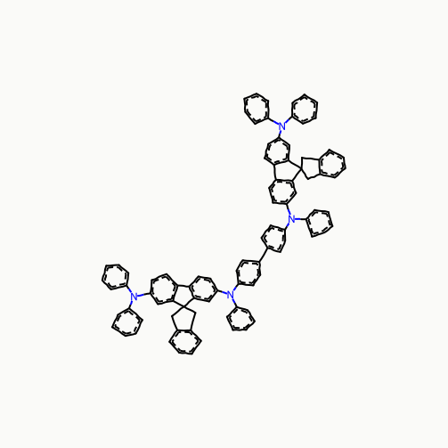 c1ccc(N(c2ccccc2)c2ccc3c(c2)C2(Cc4ccccc4C2)c2cc(N(c4ccccc4)c4ccc(-c5ccc(N(c6ccccc6)c6ccc7c(c6)C6(Cc8ccccc8C6)c6cc(N(c8ccccc8)c8ccccc8)ccc6-7)cc5)cc4)ccc2-3)cc1